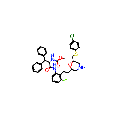 COC(=O)N[C@H](C(=O)Nc1cccc(F)c1CC[C@@H]1CNC[C@@H](CSc2ccc(Cl)cc2)O1)C(c1ccccc1)c1ccccc1